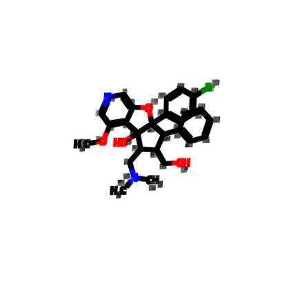 COc1cncc2c1C1(O)C(CN(C)C)C(CO)C(c3ccccc3)C1(c1ccc(Br)cc1)O2